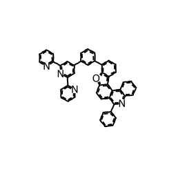 c1ccc(-c2nc3ccccc3c3c2ccc2oc4c(-c5cccc(-c6cc(-c7ccccn7)nc(-c7ccccn7)c6)c5)cccc4c23)cc1